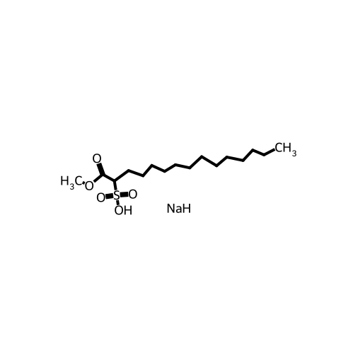 CCCCCCCCCCCCCC(C(=O)OC)S(=O)(=O)O.[NaH]